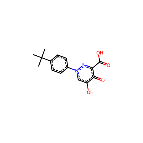 CC(C)(C)c1ccc(-n2cc(O)c(=O)c(C(=O)O)n2)cc1